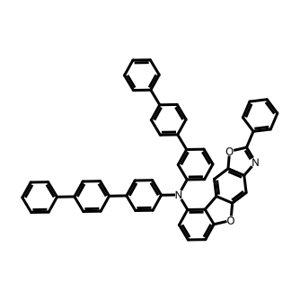 c1ccc(-c2ccc(-c3ccc(N(c4cccc(-c5ccc(-c6ccccc6)cc5)c4)c4cccc5oc6cc7nc(-c8ccccc8)oc7cc6c45)cc3)cc2)cc1